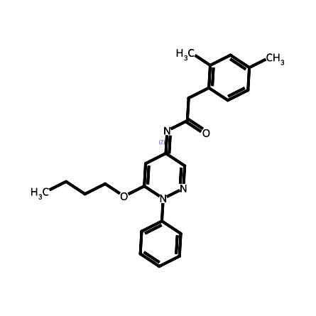 CCCCOc1c/c(=N/C(=O)Cc2ccc(C)cc2C)cnn1-c1ccccc1